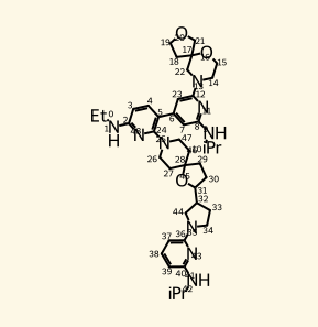 CCNc1ccc(-c2cc(NC(C)C)nc(N3CCOC4(CCOC4)C3)c2)c(N2CCC3(CCC(C4CCN(c5cccc(NC(C)C)n5)C4)O3)CC2)n1